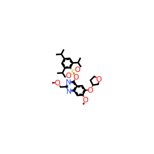 COCc1nc(OS(=O)(=O)c2c(C(C)C)cc(C(C)C)cc2C(C)C)c2cc(O[C@H]3CCOC3)c(OC)cc2n1